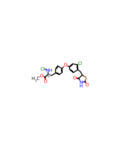 COC(=O)[C@H](Cc1ccc(Oc2ccc(CC3SC(=O)NC3=O)c(Cl)c2)cc1)NCl